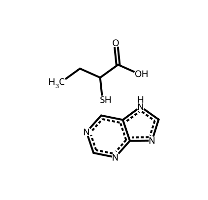 CCC(S)C(=O)O.c1ncc2[nH]cnc2n1